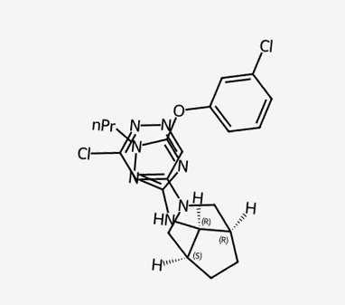 CCCn1nc(N[C@H]2[C@@H]3CC[C@H]2CN(c2cnnc(Cl)c2)C3)nc1Oc1cccc(Cl)c1